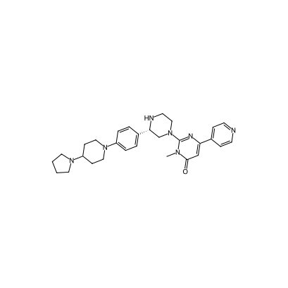 Cn1c(N2CCN[C@@H](c3ccc(N4CCC(N5CCCC5)CC4)cc3)C2)nc(-c2ccncc2)cc1=O